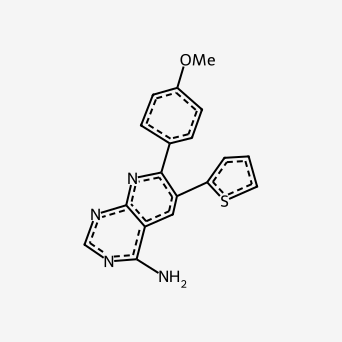 COc1ccc(-c2nc3ncnc(N)c3cc2-c2cccs2)cc1